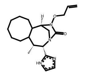 C=CCON1C(=O)N2C[C@H]1C1CCCCCCC1[C@@H](C)[C@H]2c1ncc[nH]1